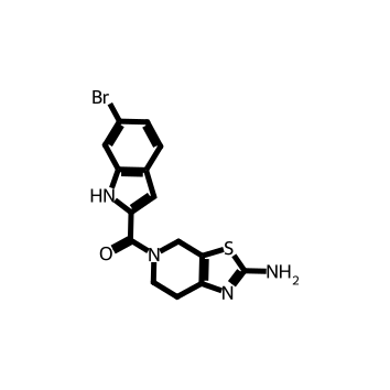 Nc1nc2c(s1)CN(C(=O)c1cc3ccc(Br)cc3[nH]1)CC2